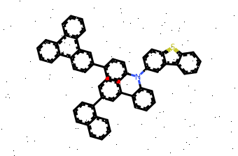 c1cc(-c2ccccc2N(c2ccc(-c3ccc4c5ccccc5c5ccccc5c4c3)cc2)c2ccc3sc4ccccc4c3c2)cc(-c2cccc3ccccc23)c1